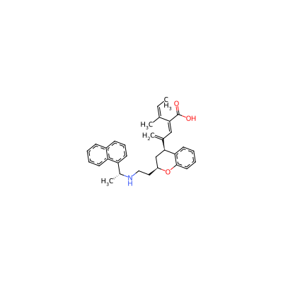 C=C(/C=C(C(=O)O)\C(C)=C/C)[C@@H]1C[C@H](CCN[C@H](C)c2cccc3ccccc23)Oc2ccccc21